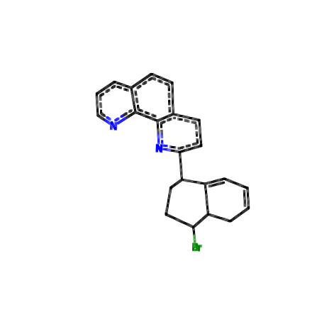 BrC1CCC(c2ccc3ccc4cccnc4c3n2)C2=CC=CCC21